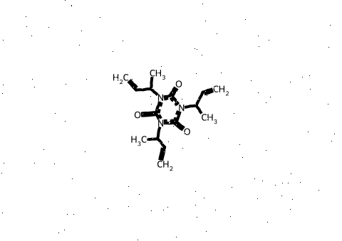 C=CC(C)n1c(=O)n(C(C)C=C)c(=O)n(C(C)C=C)c1=O